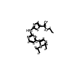 CCOC(=O)c1cnc(Nc2nccc(-c3cnc(C)n3C(C)C)n2)s1